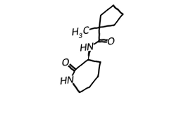 CC1(C(=O)N[C@H]2CCCCNC2=O)CCCC1